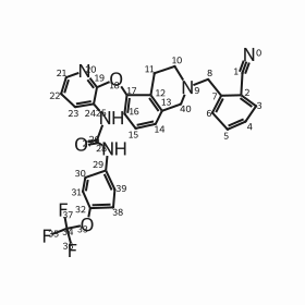 N#Cc1ccccc1CN1CCc2c(cccc2Oc2ncccc2NC(=O)Nc2ccc(OC(F)(F)F)cc2)C1